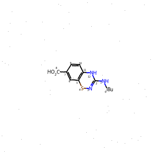 CCC(C)NC1=NSc2cc(C(=O)O)ccc2N1